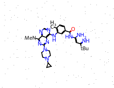 CNc1nc(N2CCN(C3CC3)CC2)nc2c(Nc3cc(C(=O)N/C(N)=C/C(=N)C(C)(C)C)ccc3C)ncnc12